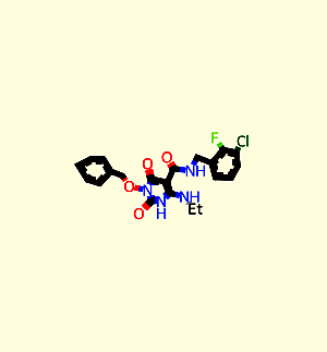 CCNc1[nH]c(=O)n(OCc2ccccc2)c(=O)c1C(=O)NCc1cccc(Cl)c1F